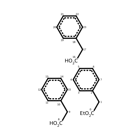 CCOC(=O)Cc1ccccc1.O=C(O)Cc1ccccc1.O=C(O)Cc1ccccc1